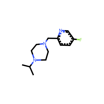 CC(C)N1CCN(Cc2ccc(F)cn2)CC1